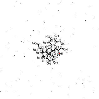 O=C(O)[C@](O)([C@H](O)[C@H](O)CO)N(NN(C1O[C@H](CO)[C@@H](O)[C@H](O)[C@H]1O)[C@](O)(C(=O)O)[C@H](O)[C@H](O)CO)C1O[C@H](CO)[C@@H](O)[C@H](O)[C@H]1O